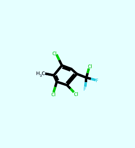 Cc1c(Cl)cc(C(F)(F)Cl)c(Cl)c1Cl